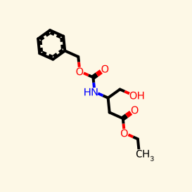 CCOC(=O)CC(CO)NC(=O)OCc1ccccc1